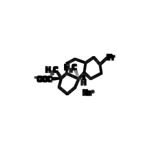 CC(C)C1CC[C@H]2C(CCC3[C@](C)(C(=O)[O-])CCC[C@@]32C)C1.[Na+]